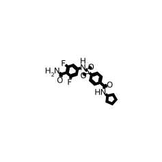 NC(=O)c1c(F)cc(NS(=O)(=O)c2ccc(C(=O)NC3CCCC3)cc2)cc1F